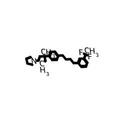 CCC(C)(CCN1CCCC1)c1ccc(CCCCc2cccc(C(C)(F)F)c2)cc1